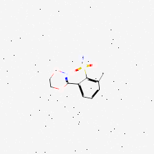 Cc1cccc(C2=NOCCO2)c1S(N)(=O)=O